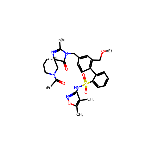 CCCCC1=N[C@@]2(CCCN(C(=O)C(C)C)C2)C(=O)N1Cc1ccc(-c2ccccc2S(=O)(=O)Nc2noc(C)c2C)c(COCC)c1